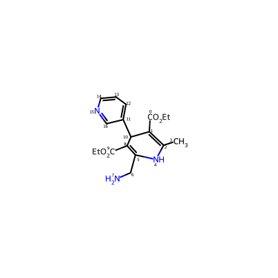 CCOC(=O)C1=C(C)NC(CN)=C(C(=O)OCC)C1c1cccnc1